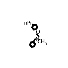 CCCc1ccc(OCCN(C)Cc2ccccc2)cc1